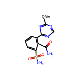 COc1ncnc(-c2cccc(S(N)(=O)=O)c2C(N)=O)n1